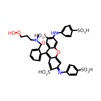 CN(CCCOO)C(=O)c1ccccc1-c1c2cc(S(=O)(=O)O)/c(=N/c3ccc(S(=O)(=O)O)cc3)cc-2oc2cc(Nc3ccc(S(=O)(=O)O)cc3)c(S(=O)(=O)O)cc12